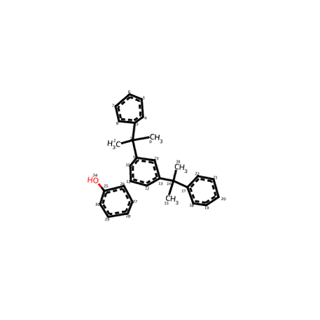 CC(C)(c1ccccc1)c1cccc(C(C)(C)c2ccccc2)c1.Oc1ccccc1